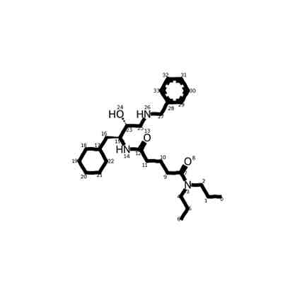 CCCN(CCC)C(=O)CCCC(=O)N[C@@H](CC1CCCCC1)[C@H](O)CNCc1ccccc1